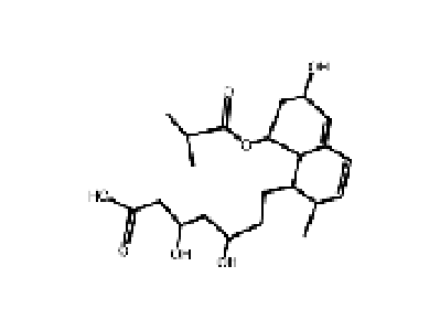 CC(C)C(=O)OC1CC(O)C=C2C=CC(C)C(CCC(O)CC(O)CC(=O)O)C21